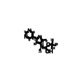 Cc1nn(-c2cncnc2)cc1N(C)C(O)OC(C)(C)C